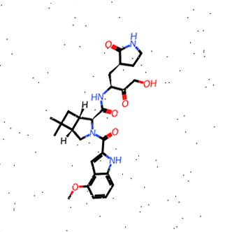 COc1cccc2[nH]c(C(=O)N3C[C@H]4[C@H](CC4(C)C)[C@H]3C(=O)N[C@@H](C[C@@H]3CCNC3=O)C(=O)CO)cc12